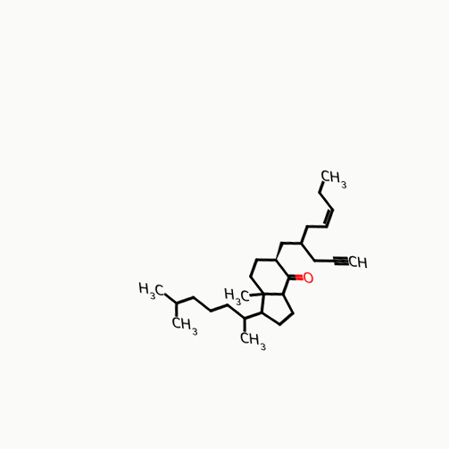 C#CCC(C/C=C\CC)C[C@@H]1CCC2(C)C(CCC2C(C)CCCC(C)C)C1=O